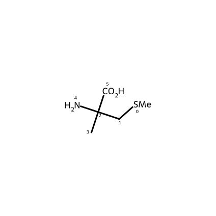 CSCC(C)(N)C(=O)O